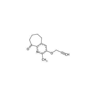 C#CCOc1cc2c(nc1C)C(=O)CCCC2